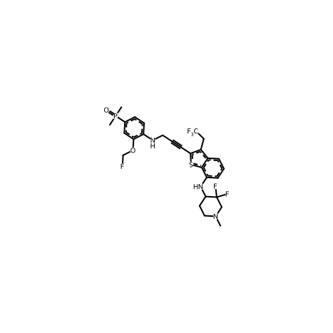 CN1CCC(Nc2cccc3c(CC(F)(F)F)c(C#CCNc4ccc(P(C)(C)=O)cc4OCF)sc23)C(F)(F)C1